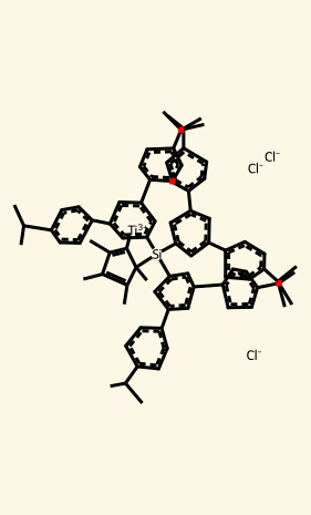 CC1=C(C)C(C)([Si](c2cc(-c3ccc(C(C)C)cc3)cc(-c3ccc(C(C)C)cc3)c2)(c2cc(-c3ccc(C(C)C)cc3)cc(-c3ccc(C(C)C)cc3)c2)c2cc(-c3ccc(C(C)C)cc3)cc(-c3ccc(C(C)C)cc3)c2)[C]([Ti+3])=C1C.[Cl-].[Cl-].[Cl-]